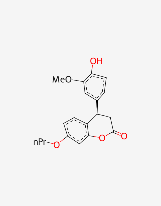 CCCOc1ccc2c(c1)OC(=O)C[C@@H]2c1ccc(O)c(OC)c1